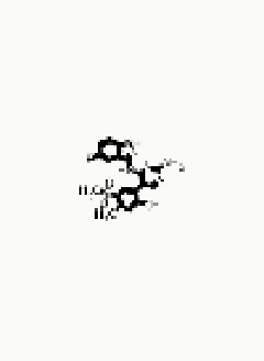 Cc1cc(C)c(S(C)(=O)=O)cc1-c1cnc(N)nc1Nc1n[nH]c2ccc(F)cc12